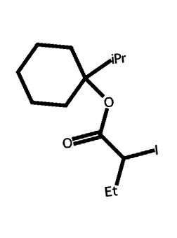 CCC(I)C(=O)OC1(C(C)C)CCCCC1